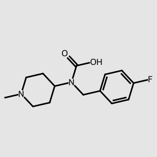 CN1CCC(N(Cc2ccc(F)cc2)C(=O)O)CC1